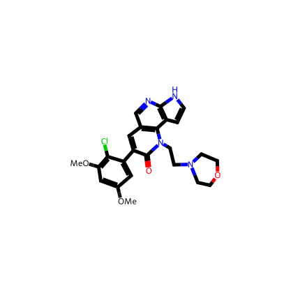 COc1cc(OC)c(Cl)c(-c2cc3cnc4[nH]ccc4c3n(CCN3CCOCC3)c2=O)c1